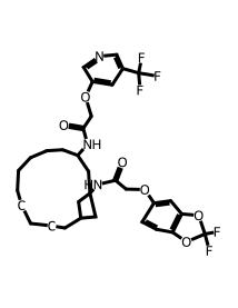 O=C(COc1cncc(C(F)(F)F)c1)NC1CCCCCCCCCC2CC(NC(=O)COc3ccc4c(c3)OC(F)(F)O4)(C2)C1